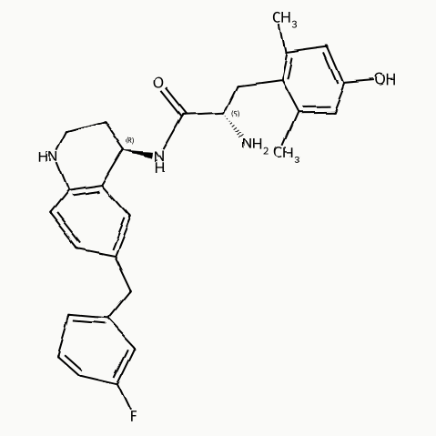 Cc1cc(O)cc(C)c1C[C@H](N)C(=O)N[C@@H]1CCNc2ccc(Cc3cccc(F)c3)cc21